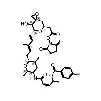 CC(/C=C/[C@H]1O[C@H](CC(=O)ON2C(=O)CCC2=O)C[C@@]2(CO2)[C@@H]1O)=C\C[C@@H]1O[C@H](C)[C@H](NC(=O)/C=C\C(C)OC(=O)c2ccc(F)cc2)C[C@@H]1C